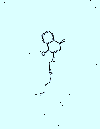 CCCCC#CCOC1=CC(=O)c2ccccc2C1=O